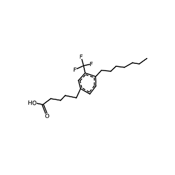 CCCCCCCc1ccc(CCCCC(=O)O)cc1C(F)(F)F